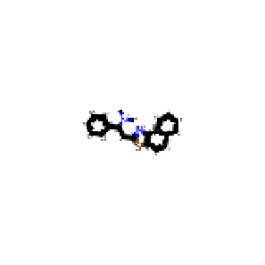 CN(C)C(=Cc1nc2c(ccc3ccccc32)s1)c1ccccc1